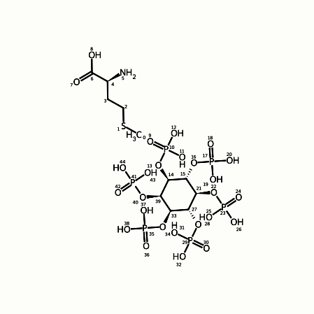 CSCC[C@H](N)C(=O)O.O=P(O)(O)O[C@H]1[C@H](OP(=O)(O)O)[C@@H](OP(=O)(O)O)[C@H](OP(=O)(O)O)[C@@H](OP(=O)(O)O)[C@H]1OP(=O)(O)O